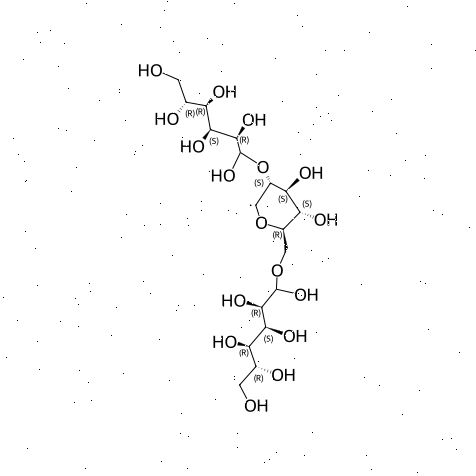 OC[C@@H](O)[C@@H](O)[C@H](O)[C@@H](O)C(O)OC[C@H]1O[CH][C@H](OC(O)[C@H](O)[C@@H](O)[C@H](O)[C@H](O)CO)[C@@H](O)[C@@H]1O